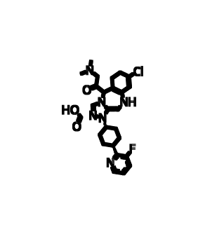 CN(C)CC(=O)C1C2=C(C=C(Cl)CC2)NC=C2N1C=NN2[C@H]1CC[C@H](c2ncccc2F)CC1.O=CO